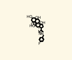 C[C@]12C[C@@H](O)C3C(CC[C@]4(O)C[C@@H](O)C[C@@H](O)C34O)[C@@]1(O)CCC2c1cn(Cc2ccc(F)cc2)nn1